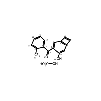 O=C(O)O.O=C(c1cc2c(cc1O)C=C2)c1ccccc1C(F)(F)F